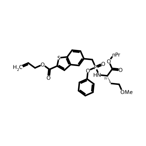 C=CCOC(=O)c1cc2cc(CP(=O)(N[C@@H](CCOC)C(=O)OCCC)Oc3ccccc3)ccc2s1